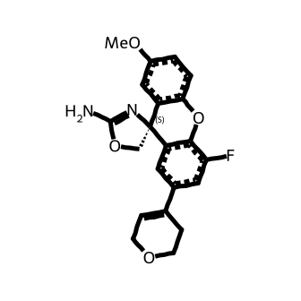 COc1ccc2c(c1)[C@@]1(COC(N)=N1)c1cc(C3=CCOCC3)cc(F)c1O2